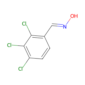 ON=Cc1ccc(Cl)c(Cl)c1Cl